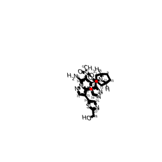 CS(=O)(=O)c1c([C@H]2C[C@H]3CC[C@@H](C2)N3C(=O)c2nnc[nH]2)nc2c(-c3cnc(CO)s3)cnn2c1N